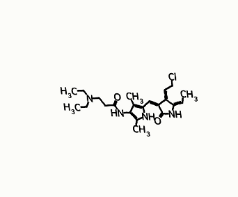 C/C=C1/NC(=O)C(=C\c2[nH]c(C)c(NC(=O)CCN(CC)CC)c2C)/C1=C/CCl